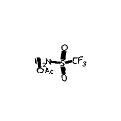 COC(C)=O.NS(=O)(=O)C(F)(F)F